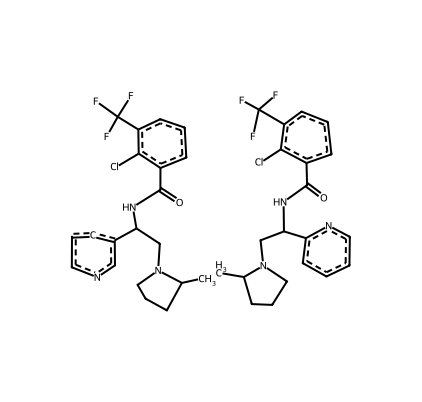 CC1CCCN1CC(NC(=O)c1cccc(C(F)(F)F)c1Cl)c1ccccn1.CC1CCCN1CC(NC(=O)c1cccc(C(F)(F)F)c1Cl)c1cccnc1